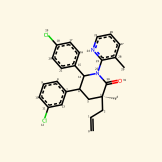 C=CC[C@@]1(C)CC(c2cccc(Cl)c2)C(c2ccc(Cl)cc2)N(c2ncccc2C)C1=O